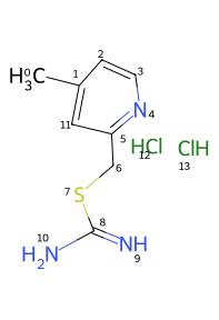 Cc1ccnc(CSC(=N)N)c1.Cl.Cl